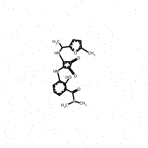 Cc1ccc(C(C)Nc2c(Nc3cccc(C(=O)N(C)C)c3O)c(=O)c2=O)o1